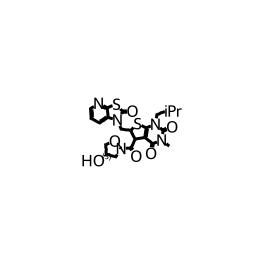 CC(C)Cn1c2c(c(=O)n(C)c1=O)C(C(=O)N1C[C@H](O)CO1)C(Cn1c(=O)sc3ncccc31)S2